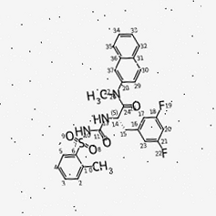 Cc1ccccc1S(=O)(=O)NC(=O)N[C@@H](Cc1cc(F)cc(F)c1)C(=O)N(C)c1ccc2ccccc2c1